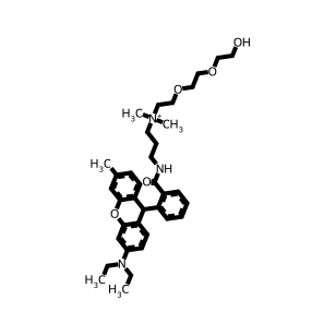 CCN(CC)c1ccc2c(c1)Oc1cc(C)ccc1C2c1ccccc1C(=O)NCCC[N+](C)(C)CCOCCOCCO